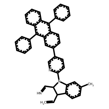 C=CC1c2ccc(C)cc2N(c2ccc(-c3ccc4c(-c5ccccc5)c5ccccc5c(-c5ccccc5)c4c3)cn2)C1C=N